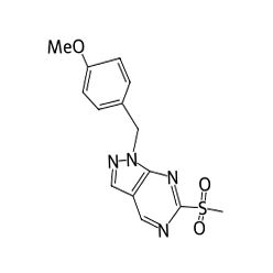 COc1ccc(Cn2ncc3cnc(S(C)(=O)=O)nc32)cc1